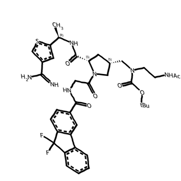 CC(=O)NCCN(C[C@H]1C[C@@H](C(=O)N[C@H](C)c2cc(C(=N)N)cs2)N(C(=O)CNC(=O)c2ccc3c(c2)-c2ccccc2C3(F)F)C1)C(=O)OC(C)(C)C